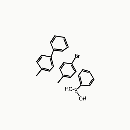 Cc1ccc(-c2ccccc2)cc1.Cc1ccc(Br)cc1.OB(O)c1ccccc1